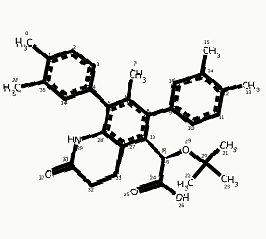 Cc1ccc(-c2c(C)c(-c3ccc(C)c(C)c3)c([C@@H](OC(C)(C)C)C(=O)O)c3c2NC(=O)CC3)cc1C